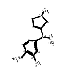 CN1CCC(N(C)c2ccc(C(=O)O)c([N+](=O)[O-])c2)C1.Cl